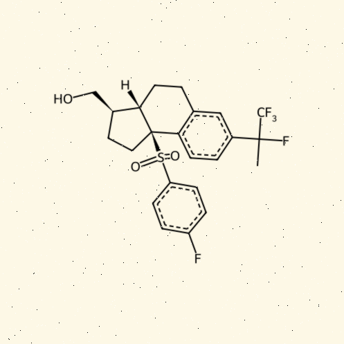 CC(F)(c1ccc2c(c1)CC[C@H]1[C@H](CO)CC[C@@]21S(=O)(=O)c1ccc(F)cc1)C(F)(F)F